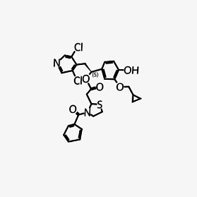 O=C(CC1SCCN1C(=O)c1ccccc1)O[C@@H](Cc1c(Cl)cncc1Cl)c1ccc(O)c(OCC2CC2)c1